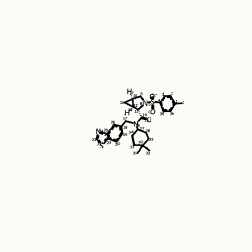 Cc1ccc(S(=O)(=O)N2C[C@@H]3C[C@@H]3[C@H]2C(=O)N(Cc2ccc3scnc3c2)C2CCC(C)(C)CC2)cc1